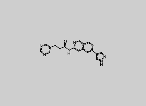 O=C(CCc1cncnc1)Nc1cc2cc(-c3cn[nH]c3)ccc2cn1